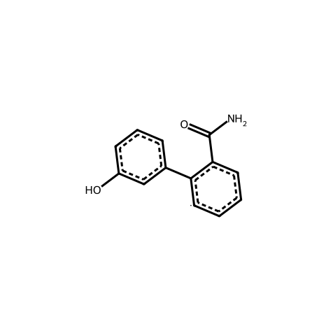 NC(=O)c1ccc[c]c1-c1cccc(O)c1